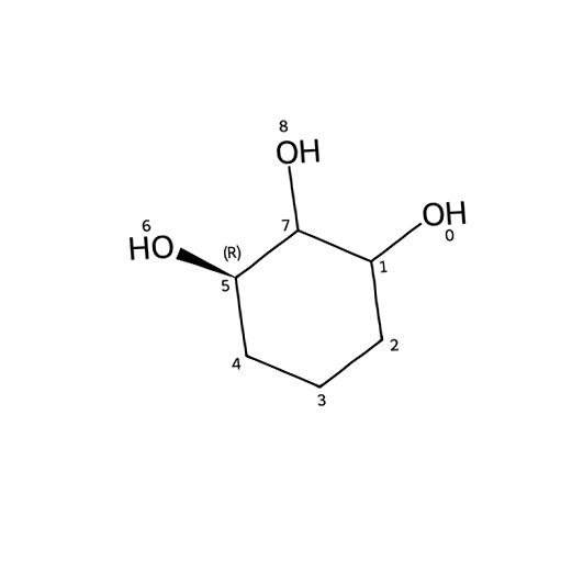 OC1CCC[C@@H](O)C1O